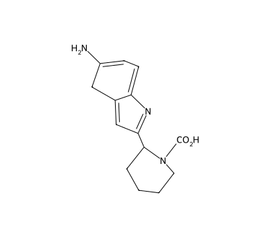 NC1=CC=C2N=C(C3CCCCN3C(=O)O)C=C2C1